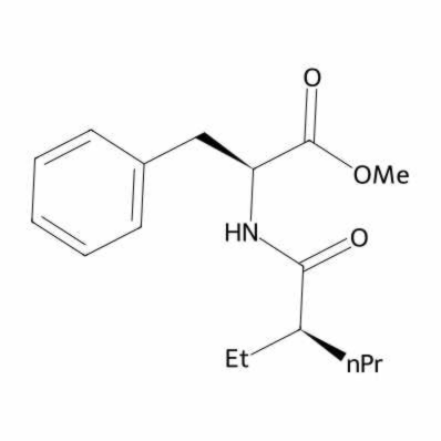 CCC[C@@H](CC)C(=O)N[C@@H](Cc1ccccc1)C(=O)OC